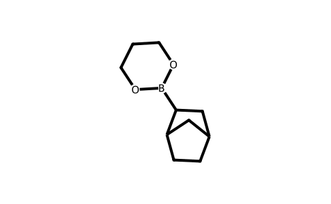 C1COB(C2CC3CCC2C3)OC1